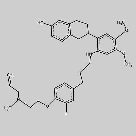 C=CCN(C)CCOc1ccc(CCCNc2cc(OC)c(OC)cc2C2CCc3cc(O)ccc3C2)cc1F